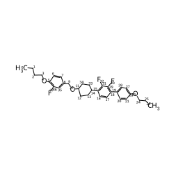 CCCCOc1ccc(COC2CCC(c3ccc(-c4ccc(OCCC)cc4)c(F)c3F)CC2)cc1F